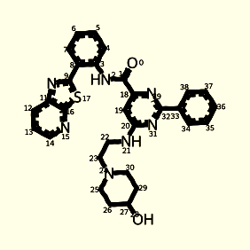 O=C(Nc1ccccc1-c1nc2cccnc2s1)c1cc(NCCN2CCC(O)CC2)nc(-c2ccccc2)n1